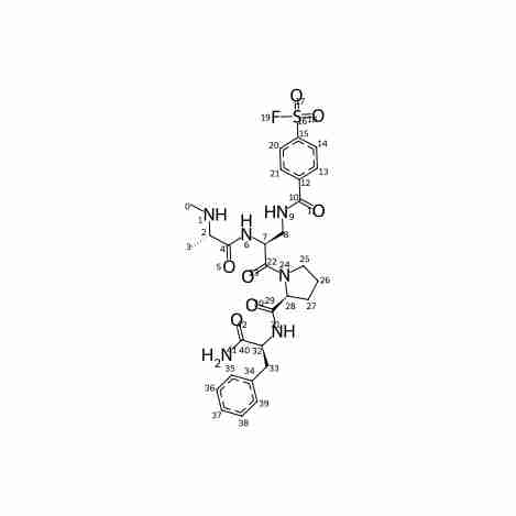 CN[C@@H](C)C(=O)N[C@@H](CNC(=O)c1ccc(S(=O)(=O)F)cc1)C(=O)N1CCC[C@H]1C(=O)N[C@@H](Cc1ccccc1)C(N)=O